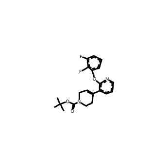 CC(C)(C)OC(=O)N1CC=C(c2cccnc2Oc2cccc(F)c2F)CC1